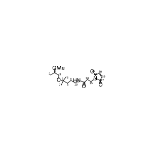 COC(C)COC(C)(C)CCCNC(=O)CCN1C(=O)C=CC1=O